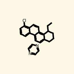 CCC1CCCc2ccc3c(ccc4c(Cl)cccc43)c21.c1cnccn1